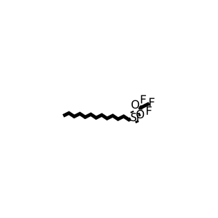 CCCCCCCCCCCCC[Si](C)(C)OC(=O)C(F)(F)F